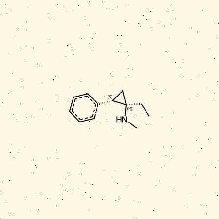 CC[C@@]1(NC)C[C@H]1c1ccccc1